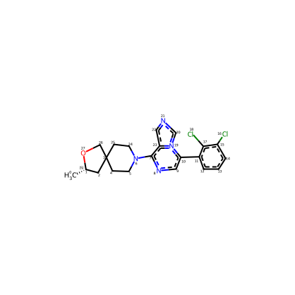 C[C@H]1CC2(CCN(c3ncc(-c4cccc(Cl)c4Cl)n4cncc34)CC2)CO1